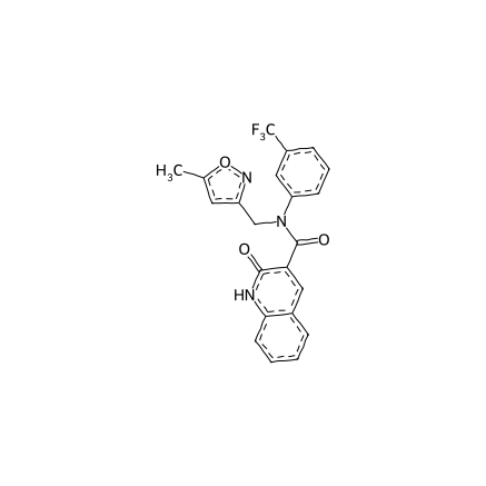 Cc1cc(CN(C(=O)c2cc3ccccc3[nH]c2=O)c2cccc(C(F)(F)F)c2)no1